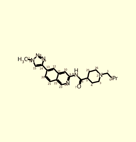 CC(C)CN1CCC(C(=O)Nc2cc3cc(-c4cn(C)nn4)ccc3cn2)CC1